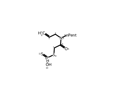 C=CCN(CCCCC)C(=O)CS[PH](O)=S